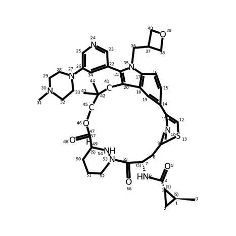 C[C@H]1C[C@@H]1C(=O)N[C@H]1Cc2nc(cs2)-c2ccc3c(c2)c(c(-c2cncc(N4CCN(C)CC4)c2)n3CC2COC2)CC(C)(C)COC(=O)[C@@H]2CCCN(N2)C1=O